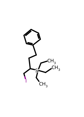 CC[Si](CC)(CC)C(CI)CCc1ccccc1